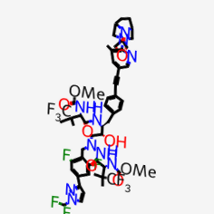 COC(=O)N[C@H](C(=O)N[C@@H](Cc1ccc(C#Cc2cnc(N3CC4CCC(C3)N4C3COC3)c(C)c2)cc1)[C@@H](O)CN(Cc1c(F)cc(-c2ccn(C(F)F)n2)cc1F)NC(=O)[C@@H](NC(=O)OC)C(C)(C)C(F)(F)F)C(C)(C)C(F)(F)F